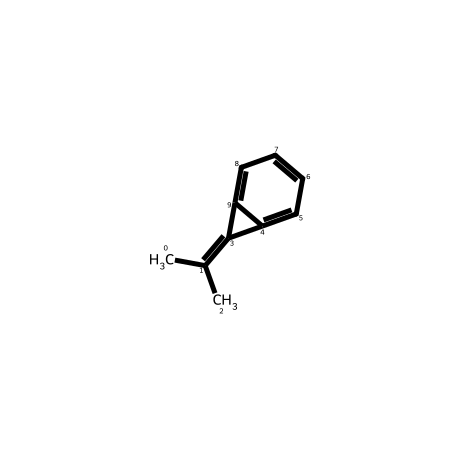 CC(C)=C1c2ccccc21